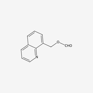 O=COCc1cccc2cccnc12